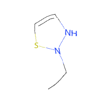 CCN1NC=CS1